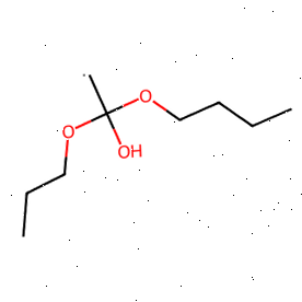 [CH2]C(O)(OCCC)OCCCC